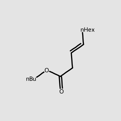 CCCCCCC=CCC(=O)OCCCC